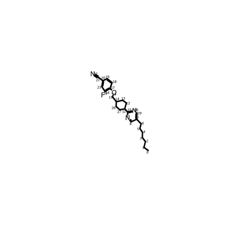 CCCCCCCc1cnc(C2CCC(COc3ccc(C#N)cc3F)CC2)nc1